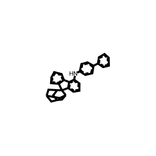 c1ccc(-c2ccc(Nc3cccc4c3-c3ccccc3C43C4CC5CC(C4)CC3C5)cc2)cc1